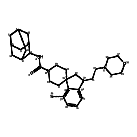 O=C(NC1C2CC3CC(C2)CC1C3)N1CCC2(CC1)CC(CCN1CCOCC1)c1cccc(Br)c12